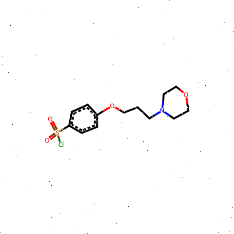 O=S(=O)(Cl)c1ccc(OCCCN2CCOCC2)cc1